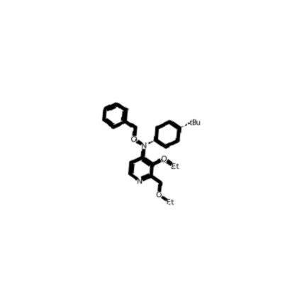 CCOCc1nccc(N(OCc2ccccc2)[C@H]2CC[C@@H](C(C)(C)C)CC2)c1OCC